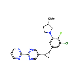 CO[C@H]1CCN(c2cc(C3CC3c3cnc(-c4ncccn4)nc3)cc(Cl)c2F)C1